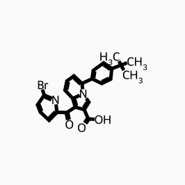 CC(C)(C)c1ccc(-c2cccc3c(C(=O)c4cccc(Br)n4)c(C(=O)O)cn23)cc1